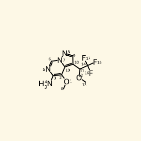 COc1c(N)ncn2ncc(C(OC)C(F)(F)F)c12